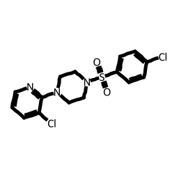 O=S(=O)(c1ccc(Cl)cc1)N1CCN(c2ncccc2Cl)CC1